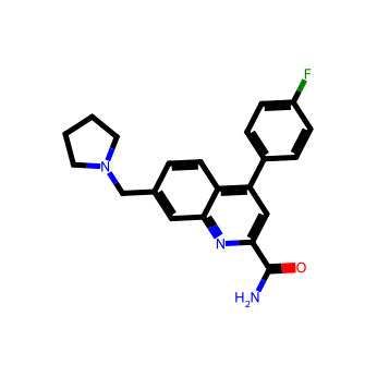 NC(=O)c1cc(-c2ccc(F)cc2)c2ccc(CN3CCCC3)cc2n1